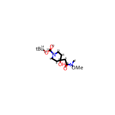 CON(C)C(=O)CC1(O)CCN(C(=O)OC(C)(C)C)CC1